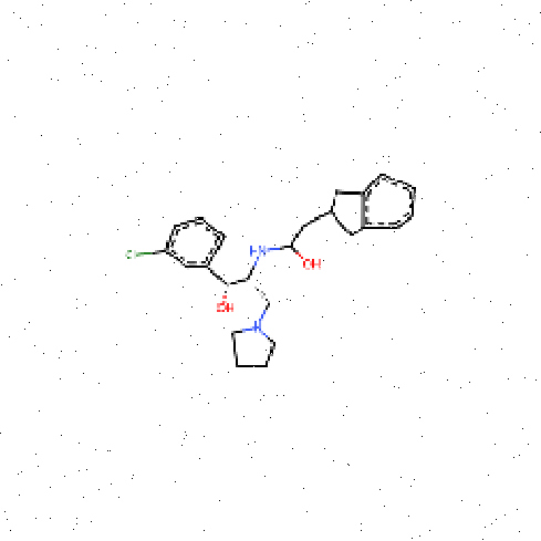 OC(CC1Cc2ccccc2C1)N[C@H](CN1CCCC1)[C@H](O)c1cccc(Cl)c1